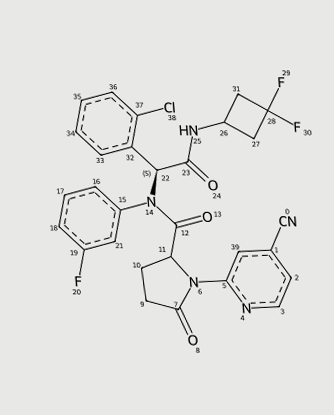 N#Cc1ccnc(N2C(=O)CCC2C(=O)N(c2cccc(F)c2)[C@H](C(=O)NC2CC(F)(F)C2)c2ccccc2Cl)c1